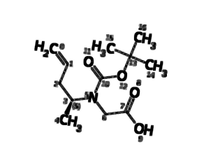 C=CC[C@H](C)N(CC(=O)O)C(=O)OC(C)(C)C